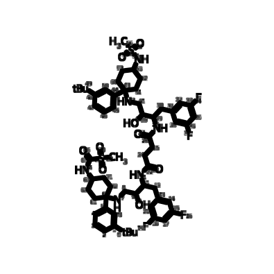 CC(C)(C)c1cccc(C2(NCC(O)C(Cc3cc(F)cc(F)c3)NC(=O)CCC(=O)NC(Cc3cc(F)cc(F)c3)C(O)CNC3(c4cccc(C(C)(C)C)c4)CCC(NS(C)(=O)=O)CC3)CCC(NC(=O)S(C)(=O)=O)CC2)c1